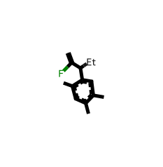 C=C(F)C(CC)c1cc(C)c(C)cc1C